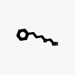 OCOCCCc1ccccc1